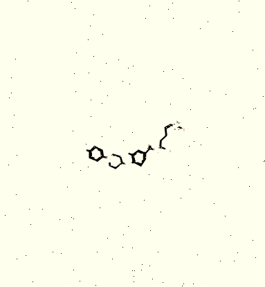 CCCC(CC/C=C\S(=O)(=O)C(C)C)NC(=O)c1ccc(OC2CCN(c3ccc(C(F)(F)F)cc3)CC2)c(F)c1